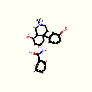 CN1CCC2(c3cccc(O)c3)C[C@H](NC(=O)c3ccccc3)CC(O)C2C1